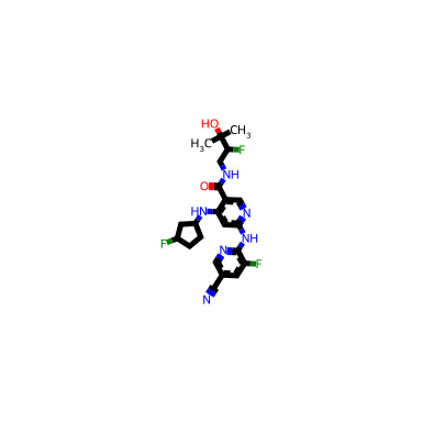 CC(C)(O)C(F)CNC(=O)c1cnc(Nc2ncc(C#N)cc2F)cc1NC1CCC(F)C1